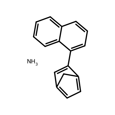 C1=C2C=C(c3cccc4ccccc34)C(=C1)C2.N